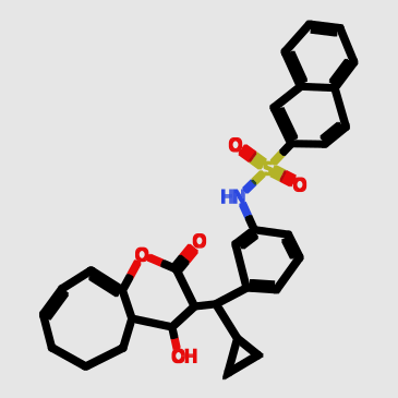 O=C1OC2=CC=CCCCC2C(O)C1C(c1cccc(NS(=O)(=O)c2ccc3ccccc3c2)c1)C1CC1